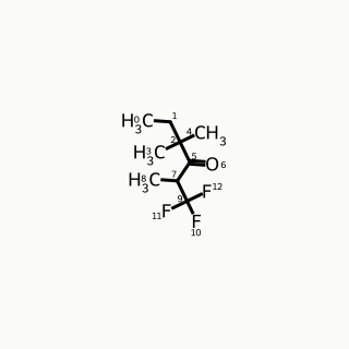 CCC(C)(C)C(=O)C(C)C(F)(F)F